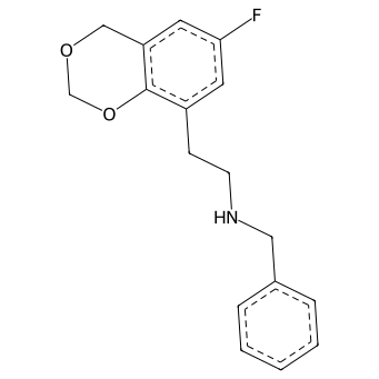 Fc1cc(CCNCc2ccccc2)c2c(c1)COCO2